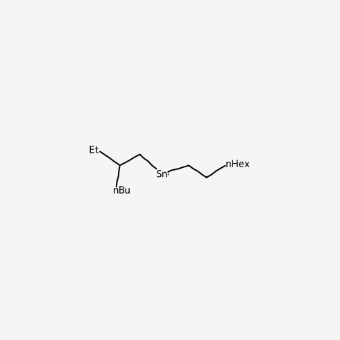 CCCCCCC[CH2][Sn][CH2]C(CC)CCCC